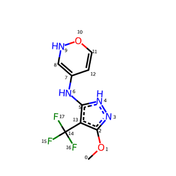 COc1n[nH]c(NC2=CNOC=C2)c1C(F)(F)F